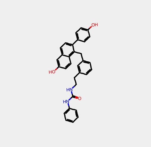 O=C(NCCc1cccc(Cc2c(-c3ccc(O)cc3)ccc3cc(O)ccc23)c1)Nc1ccccc1